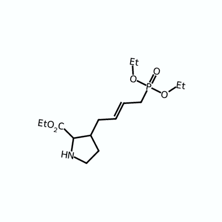 CCOC(=O)C1NCCC1CC=CCP(=O)(OCC)OCC